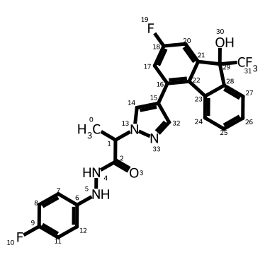 CC(C(=O)NNc1ccc(F)cc1)n1cc(-c2cc(F)cc3c2-c2ccccc2C3(O)C(F)(F)F)cn1